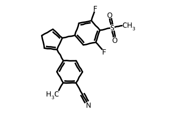 Cc1cc(C2=CCC=C2c2cc(F)c(S(C)(=O)=O)c(F)c2)ccc1C#N